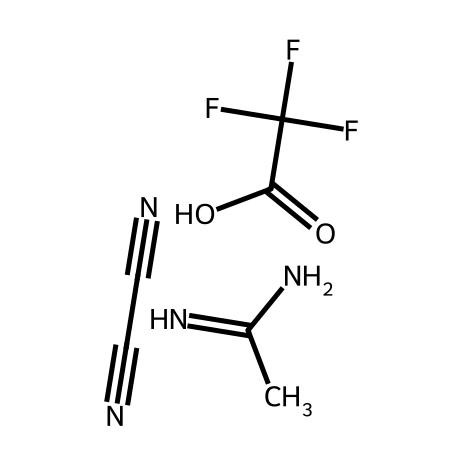 CC(=N)N.N#CC#N.O=C(O)C(F)(F)F